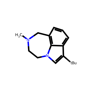 CN1CCn2cc(C(C)(C)C)c3cccc(c32)C1